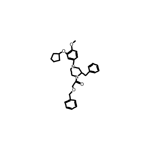 COc1ccc(N2CCN(C(=O)COCc3ccccc3)C(Cc3ccccc3)C2)cc1OC1CCCC1